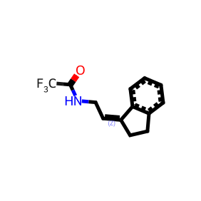 O=C(NC/C=C1/CCc2ccccc21)C(F)(F)F